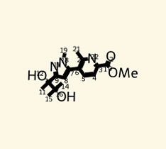 COC(=O)c1ccc(-c2cc(C(C)(O)C(C)(C)O)nn2C)c(C)n1